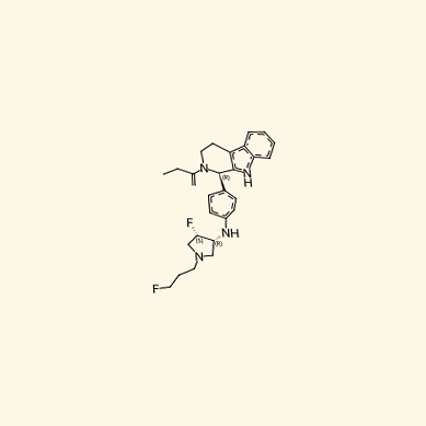 C=C(CC)N1CCc2c([nH]c3ccccc23)[C@H]1c1ccc(N[C@@H]2CN(CCCF)C[C@@H]2F)cc1